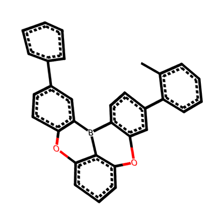 Cc1ccccc1-c1ccc2c(c1)Oc1cccc3c1B2c1cc(-c2ccccc2)ccc1O3